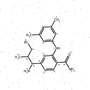 Cc1cc(C)cc(Nc2nc(N(N)C(C)CC(C)C)ncc2C(N)=O)c1